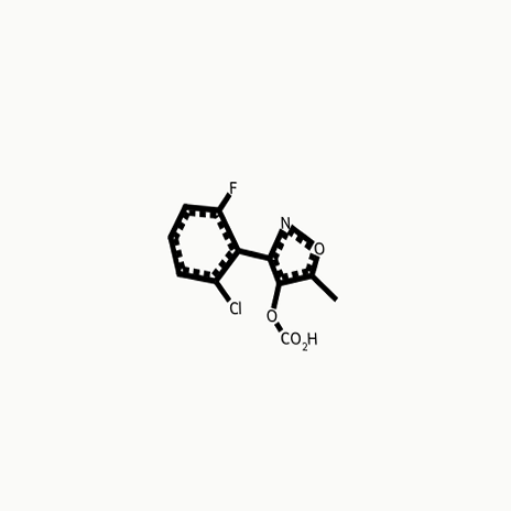 Cc1onc(-c2c(F)cccc2Cl)c1OC(=O)O